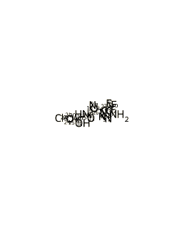 Nc1ncnn2c(-c3cncc(C(=O)NCC[C@@H](O)c4ccc(Cl)cc4)c3)cc(C(F)(F)F)c12